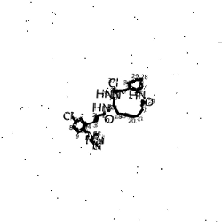 O=C(C=Cc1cc(Cl)ccc1-n1cnnn1)N[C@H]1CC=CCCC(=O)Nc2ccccc2-c2nc1[nH]c2Cl